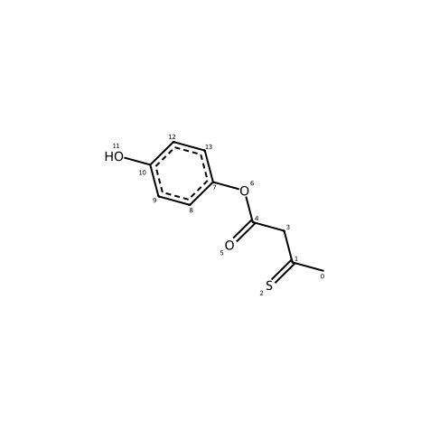 CC(=S)CC(=O)Oc1ccc(O)cc1